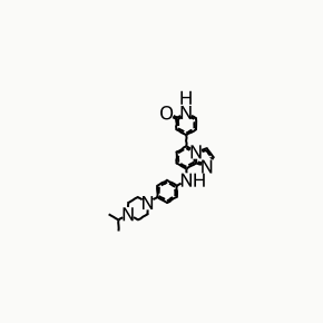 CC(C)N1CCN(c2ccc(Nc3ccc(-c4cc[nH]c(=O)c4)n4ccnc34)cc2)CC1